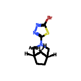 CC(=O)N[C@@H]1[C@@H]2CC[C@H]1CN(c1nnc(Br)s1)C2